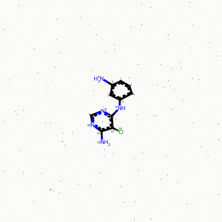 Nc1cccc(Nc2ncnc(N)c2Cl)c1